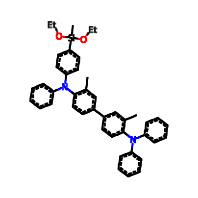 CCO[Si](C)(OCC)c1ccc(N(c2ccccc2)c2ccc(-c3ccc(N(c4ccccc4)c4ccccc4)c(C)c3)cc2C)cc1